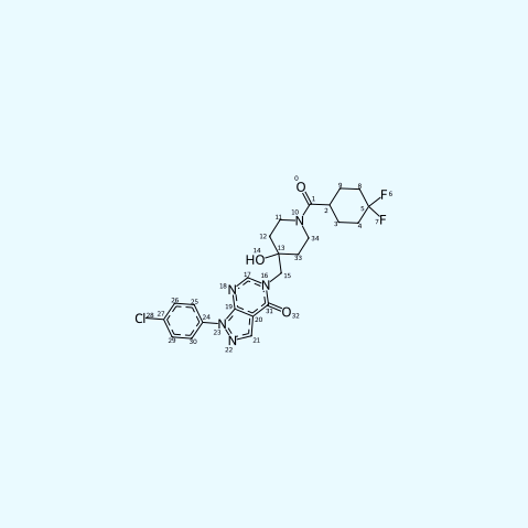 O=C(C1CCC(F)(F)CC1)N1CCC(O)(Cn2cnc3c(cnn3-c3ccc(Cl)cc3)c2=O)CC1